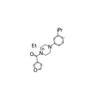 CC[C@@H]1CN(c2cc[c]c(C(C)C)c2)CCN1C(=O)c1ccoc1